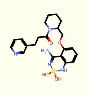 NC1=NS(O)(O)Nc2cccc(OCC3CCCCN3C(=O)CCc3cccnc3)c21